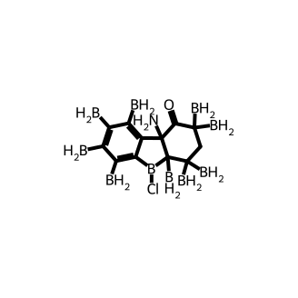 Bc1c(B)c(B)c2c(c1B)B(Cl)C1(B)C(B)(B)CC(B)(B)C(=O)C21N